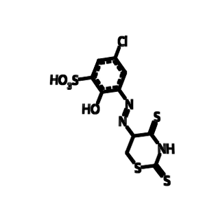 O=S(=O)(O)c1cc(Cl)cc(N=NC2CSC(=S)NC2=S)c1O